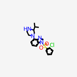 CC(C)C1CN(c2cccc3c2ncn3S(=O)(=O)c2ccccc2Cl)CCN1